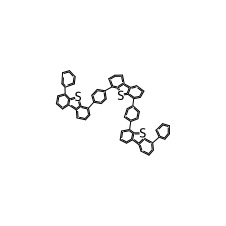 c1ccc(-c2cccc3c2sc2c(-c4ccc(-c5cccc6c5sc5c(-c7ccc(-c8cccc9c8sc8c(-c%10ccccc%10)cccc89)cc7)cccc56)cc4)cccc23)cc1